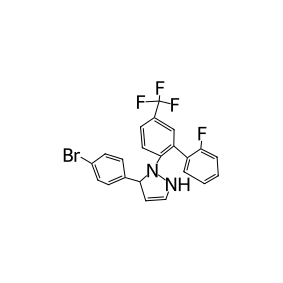 Fc1ccccc1-c1cc(C(F)(F)F)ccc1N1NC=CC1c1ccc(Br)cc1